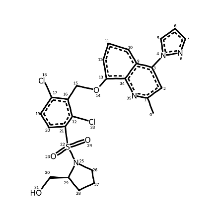 Cc1cc(-n2cccn2)c2cccc(OCc3c(Cl)ccc(S(=O)(=O)N4CCC[C@H]4CO)c3Cl)c2n1